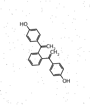 C=C(c1ccc(O)cc1)c1ccccc1C(=C)c1ccc(O)cc1